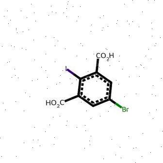 O=C(O)c1cc(Br)cc(C(=O)O)c1I